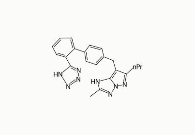 CCCc1nn2nc(C)[nH]c2c1Cc1ccc(-c2ccccc2-c2nnn[nH]2)cc1